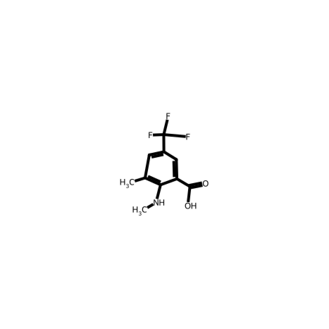 CNc1c(C)cc(C(F)(F)F)cc1C(=O)O